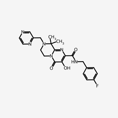 CC1(C)c2nc(C(=O)NCc3ccc(F)cc3)c(O)c(=O)n2CCN1Cc1cnccn1